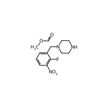 COC=O.O=[N+]([O-])c1cccc(CN2CCNCC2)c1F